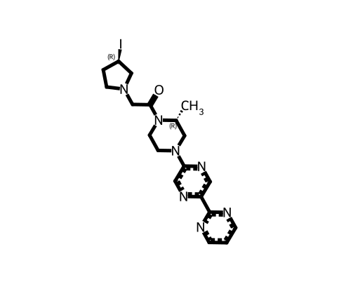 C[C@@H]1CN(c2cnc(-c3ncccn3)cn2)CCN1C(=O)CN1CC[C@@H](I)C1